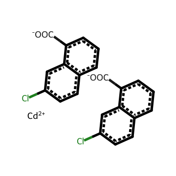 O=C([O-])c1cccc2ccc(Cl)cc12.O=C([O-])c1cccc2ccc(Cl)cc12.[Cd+2]